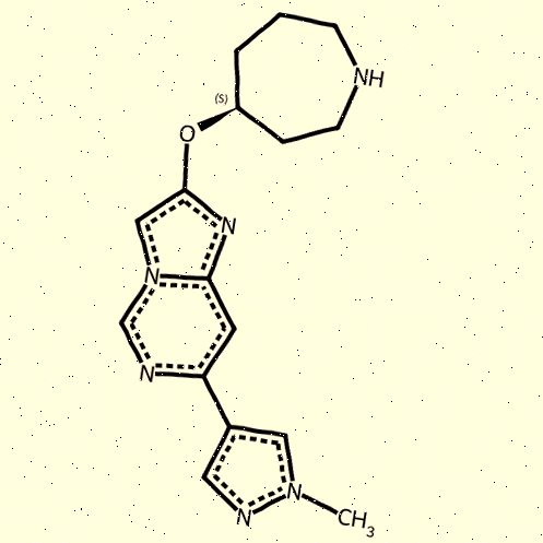 Cn1cc(-c2cc3nc(O[C@H]4CCCNCC4)cn3cn2)cn1